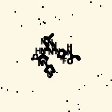 C=CC(=O)N[C@@H]1CN(c2nc(Nc3cn(C4CCN(C)C4)nc3OC)c3ncc(C)n3n2)C[C@H]1F